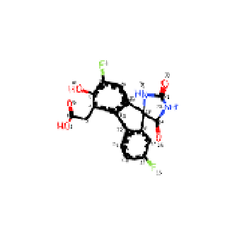 O=C(O)Cc1c(O)c(F)cc2c1-c1ccc(F)cc1C21NC(=O)NC1=O